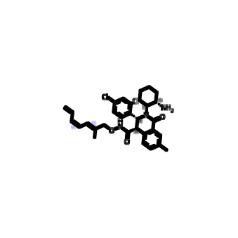 C=C/C=C\C=C(/C)CONC(=O)[C@@H]1c2ccc(C)cc2C(=O)N([C@H]2CCCC[C@@H]2N)[C@H]1c1ccc(Cl)cc1Cl